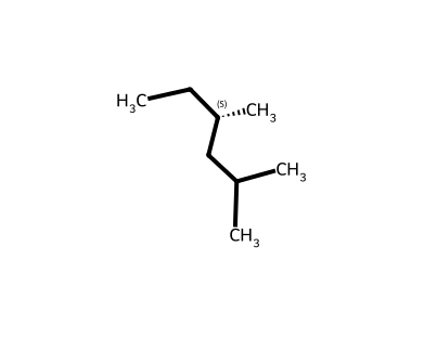 CC[C@H](C)CC(C)C